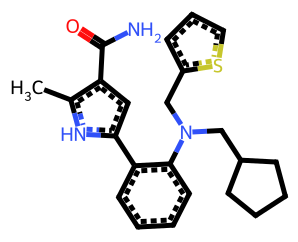 Cc1[nH]c(-c2ccccc2N(Cc2cccs2)CC2CCCC2)cc1C(N)=O